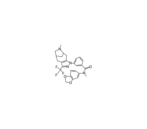 CN(C(=O)c1cccc(-n2nc(C(F)(F)F)c3c2CC2CC(C3)CN2C)c1)c1ccc2c(c1)OCO2